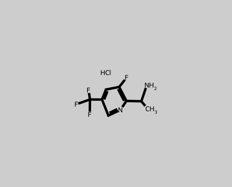 CC(N)c1ncc(C(F)(F)F)cc1F.Cl